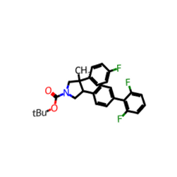 CC(C)(C)OC(=O)N1CC(c2ccc(-c3c(F)cccc3F)cc2)C(C)(c2ccc(F)cc2)C1